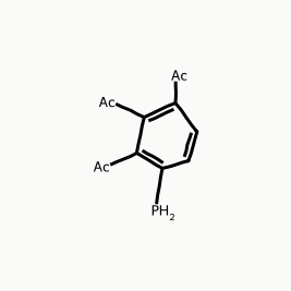 CC(=O)c1ccc(P)c(C(C)=O)c1C(C)=O